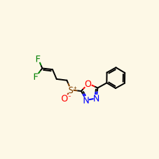 [O-][S+](CCC=C(F)F)c1nnc(-c2ccccc2)o1